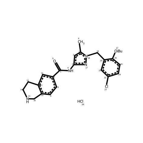 Cc1cc(NC(=O)c2ccc3c(c2)CCNC3)nn1Cc1cc(Cl)ccc1OCC(C)C.Cl